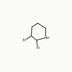 CCC1CCCNC1CC